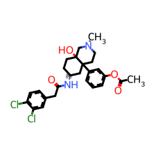 CC(=O)Oc1cccc(C23CCN(C)CC2(O)CC[C@@H](NC(=O)Cc2ccc(Cl)c(Cl)c2)C3)c1